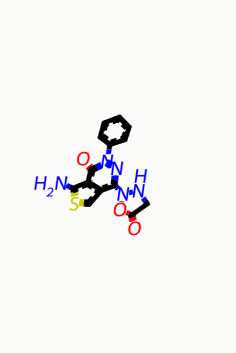 Nc1scc2c(N3NCC(=O)O3)nn(-c3ccccc3)c(=O)c12